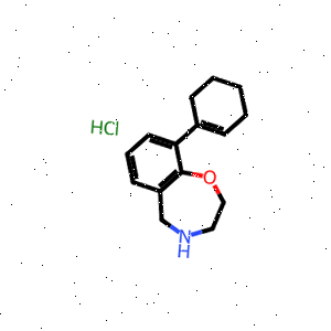 C1=C(c2cccc3c2OCCNC3)CCCC1.Cl